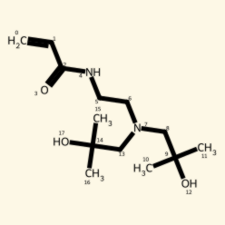 C=CC(=O)NCCN(CC(C)(C)O)CC(C)(C)O